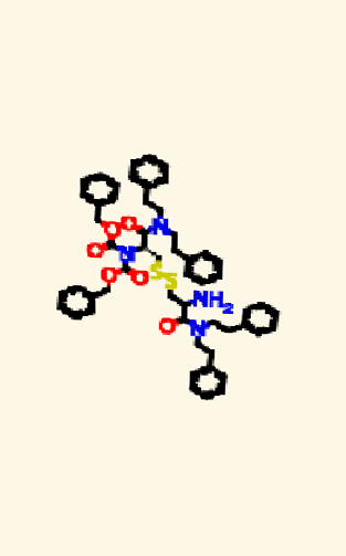 NC(CSSC[C@@H](C(=O)N(CCc1ccccc1)CCc1ccccc1)N(C(=O)OCc1ccccc1)C(=O)OCc1ccccc1)C(=O)N(CCc1ccccc1)CCc1ccccc1